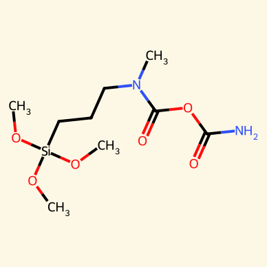 CO[Si](CCCN(C)C(=O)OC(N)=O)(OC)OC